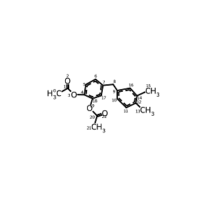 CC(=O)Oc1ccc(Cc2ccc(C)c(C)c2)cc1OC(C)=O